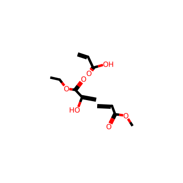 C=C(O)C(=O)OCC.C=CC(=O)O.C=CC(=O)OC